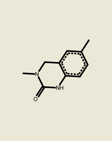 Cc1ccc2c(c1)CN(C)C(=O)N2